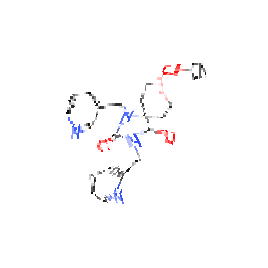 N#COB1CCC2(CC1)C(=O)N(Cc1ccccn1)C(=O)N2Cc1cccnc1